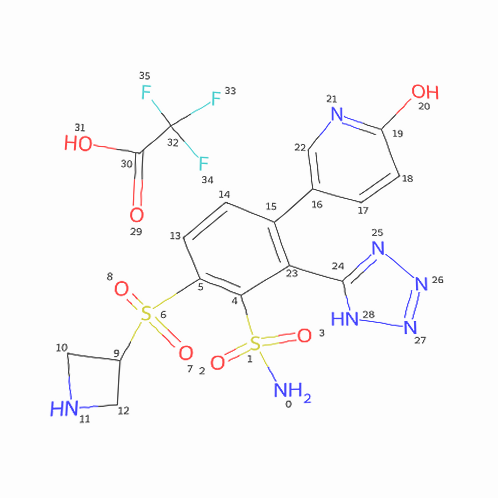 NS(=O)(=O)c1c(S(=O)(=O)C2CNC2)ccc(-c2ccc(O)nc2)c1-c1nnn[nH]1.O=C(O)C(F)(F)F